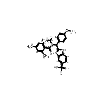 COc1ccc(C(c2nc3cc(C(F)(F)F)ccc3[nH]2)N(C(=O)c2c(C)cc(C)cc2C)C(C)C)cc1